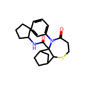 O=C1CCSC2C3CCC(C3)C2(C(=O)NC2CCCC2)N1c1ccccc1